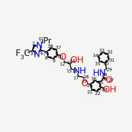 CC(C)n1cc(C(F)(F)F)nc1-c1ccc(OCC(O)CNCCOc2ccc(O)c(C(=O)NCc3ccccc3)c2)cc1